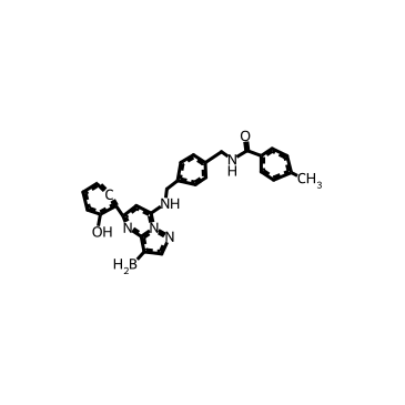 Bc1cnn2c(NCc3ccc(CNC(=O)c4ccc(C)cc4)cc3)cc(-c3ccccc3O)nc12